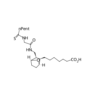 CCCCCC(=S)NCC(=O)NC[C@H]1[C@@H](CCCCCCC(=O)O)[C@H]2CC[C@@H]1O2